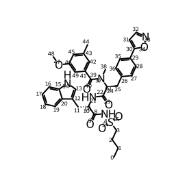 CCCCS(=O)(=O)NC(=O)[C@H](Cc1c[nH]c2ccccc12)NC(=O)[C@H](Cc1ccc(-c2ccno2)cc1)N(C)C(=O)c1cc(C)cc(OC)c1